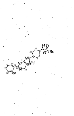 CC(C)(C)S(=O)(=O)NC1CCC(c2nc3nc(-c4ccccc4F)ncc3[nH]2)CC1